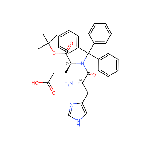 CC(C)(C)OC(=O)[C@H](CCC(=O)O)N(C(=O)[C@@H](N)Cc1c[nH]cn1)C(c1ccccc1)(c1ccccc1)c1ccccc1